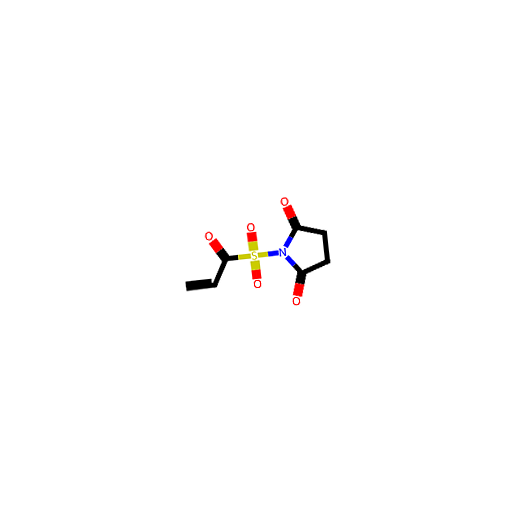 C=CC(=O)S(=O)(=O)N1C(=O)CCC1=O